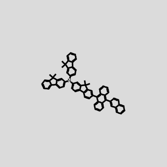 CC1(C)c2ccccc2-c2ccc(N(c3ccc4c(c3)C(C)(C)c3ccccc3-4)c3ccc4c(c3)C(C)(C)c3cc(-c5c6ccccc6c(-c6ccc7ccccc7c6)c6ccccc56)ccc3-4)cc21